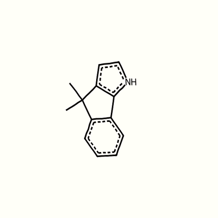 CC1(C)c2ccccc2-c2[nH]ccc21